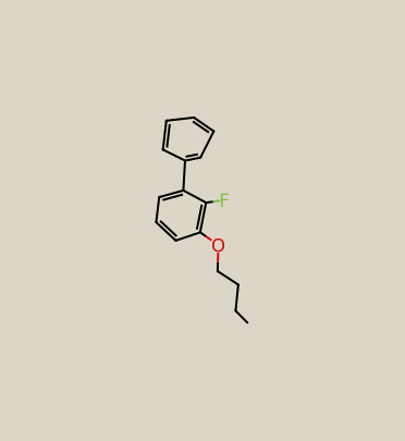 CCCCOc1cccc(-c2ccccc2)c1F